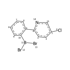 Clc1ccc(-c2ccccc2B(Br)Br)nc1